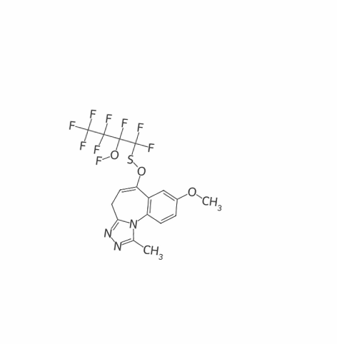 COc1ccc2c(c1)C(OSC(F)(F)C(F)(OF)C(F)(F)C(F)(F)F)=CCc1nnc(C)n1-2